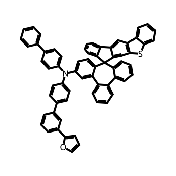 c1ccc(-c2ccc(N(c3ccc(-c4cccc(-c5ccco5)c4)cc3)c3ccc4c(c3)-c3ccccc3-c3ccccc3C43c4ccccc4-c4cc5c(cc43)sc3ccccc35)cc2)cc1